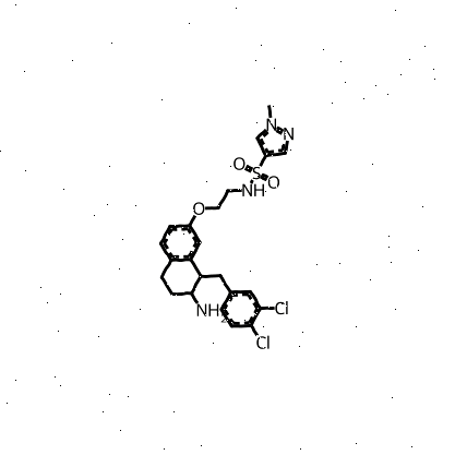 Cn1cc(S(=O)(=O)NCCOc2ccc3c(c2)C(Cc2ccc(Cl)c(Cl)c2)C(N)CC3)cn1